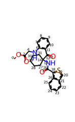 COC(=O)CNc1ccccc1C(=O)C1(NC(=O)c2scc3ccccc23)CCCCC1